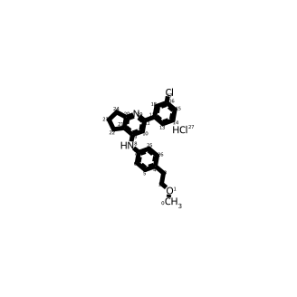 COCCc1ccc(Nc2cc(-c3cccc(Cl)c3)nc3c2CCC3)cc1.Cl